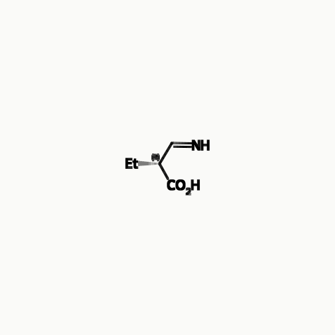 CC[C@H](C=N)C(=O)O